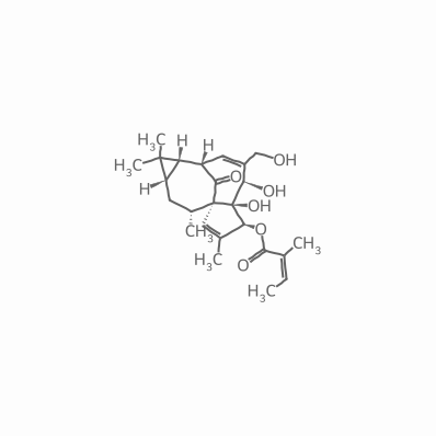 C/C=C(/C)C(=O)O[C@H]1C(C)=C[C@]23C(=O)[C@@H](C=C(CO)[C@@H](O)[C@]12O)[C@@H]1[C@H](C[C@H]3C)C1(C)C